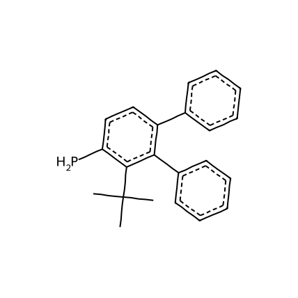 CC(C)(C)c1c(P)ccc(-c2ccccc2)c1-c1ccccc1